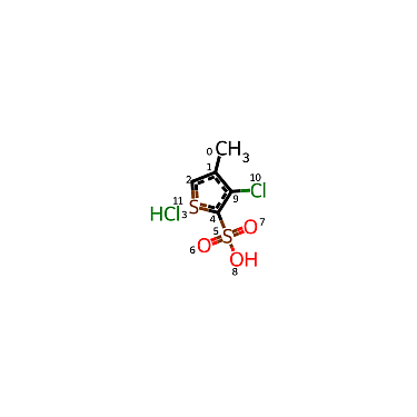 Cc1csc(S(=O)(=O)O)c1Cl.Cl